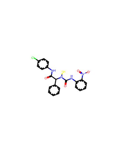 O=C(Nc1ccc(Cl)cc1)C(c1ccccc1)N(S)C(=O)Nc1ccccc1[N+](=O)[O-]